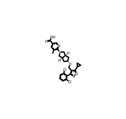 Cc1cc(C(=O)O)cnc1N1C[C@H]2C[C@H](OCc3c(-c4c(Cl)cccc4Cl)noc3C3CC3)C[C@H]2C1